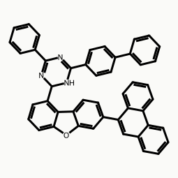 c1ccc(C2=NC(c3cccc4oc5cc(-c6cc7ccccc7c7ccccc67)ccc5c34)NC(c3ccc(-c4ccccc4)cc3)=N2)cc1